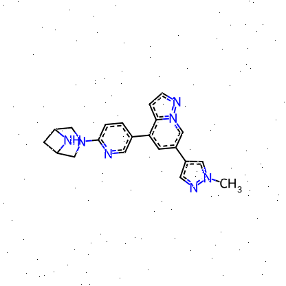 Cn1cc(-c2cc(-c3ccc(N4CC5CC(C4)N5)nc3)c3ccnn3c2)cn1